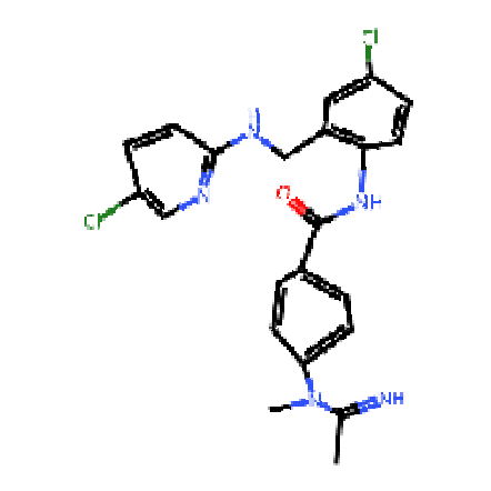 CC(=N)N(C)c1ccc(C(=O)Nc2ccc(Cl)cc2CNc2ccc(Cl)cn2)cc1